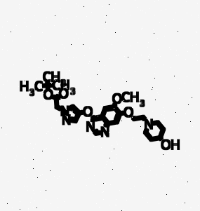 COc1cc2c(Oc3cnn(CC(=O)OC(C)(C)C)c3)ncnc2cc1OCCN1CCC(O)CC1